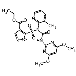 CCOC(=O)c1cn[nH]c1S(=O)(=O)N(C(=O)Nc1nc(OC)cc(OC)n1)c1ncccc1C